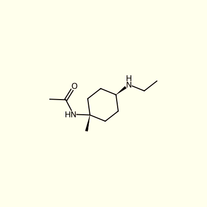 CCN[C@H]1CC[C@](C)(NC(C)=O)CC1